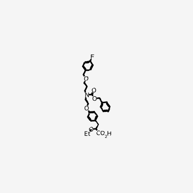 CCOC(Cc1ccc(OCCN(CCCOCc2ccc(F)cc2)C(=O)OCc2ccccc2)cc1)C(=O)O